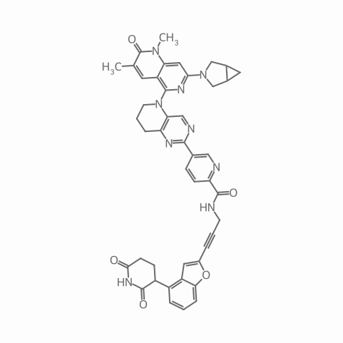 Cc1cc2c(N3CCCc4nc(-c5ccc(C(=O)NCC#Cc6cc7c(C8CCC(=O)NC8=O)cccc7o6)nc5)ncc43)nc(N3CC4CC4C3)cc2n(C)c1=O